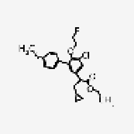 CCOC(=O)C(CC1CC1)c1cc(Cl)c(OCCF)c(-c2ccc(SC)cc2)c1